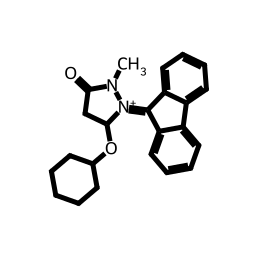 CN1C(=O)CC(OC2CCCCC2)[N+]1=C1c2ccccc2-c2ccccc21